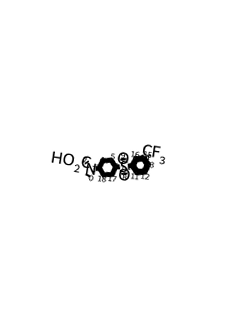 CN(C(=O)O)C1CCC(S(=O)(=O)c2cccc(C(F)(F)F)c2)CC1